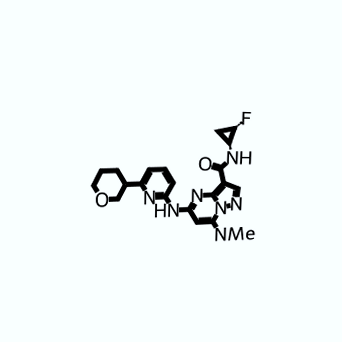 CNc1cc(Nc2cccc(C3CCCOC3)n2)nc2c(C(=O)N[C@@H]3C[C@@H]3F)cnn12